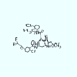 COCc1nc2c(C(=O)Nc3cccc(Cl)c3C)cc(NC(=O)c3cc(OCC(F)F)ccc3Cl)cc2[nH]1